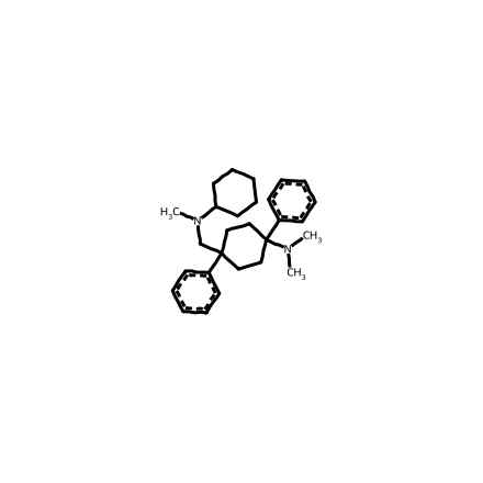 CN(CC1(c2ccccc2)CCC(c2ccccc2)(N(C)C)CC1)C1CCCCC1